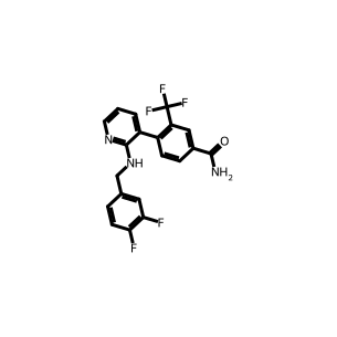 NC(=O)c1ccc(-c2cccnc2NCc2ccc(F)c(F)c2)c(C(F)(F)F)c1